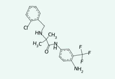 CC(C)(NCc1ccccc1Cl)C(=O)Nc1ccc(N)c(C(F)(F)F)c1